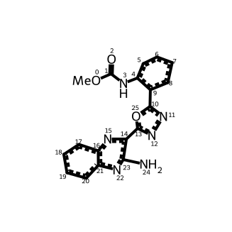 COC(=O)Nc1ccccc1-c1nnc(-c2nc3ccccc3nc2N)o1